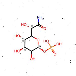 NC(=O)[C@@H](O)C1O[C@@H](OP(=O)(O)O)C(O)[C@@H](O)[C@@H]1O